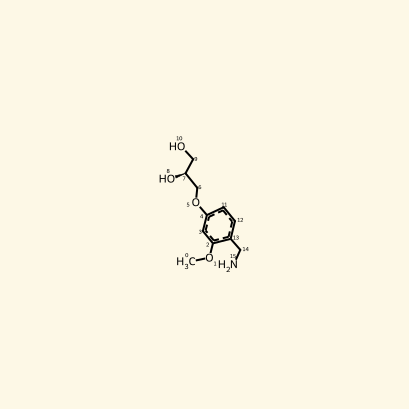 COc1cc(OC[C@@H](O)CO)ccc1CN